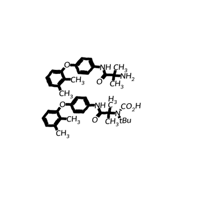 Cc1cccc(Oc2ccc(NC(=O)C(C)(C)N(C(=O)O)C(C)(C)C)cc2)c1C.Cc1cccc(Oc2ccc(NC(=O)C(C)(C)N)cc2)c1C